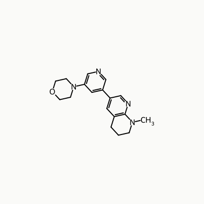 CN1CCCc2cc(-c3cncc(N4CCOCC4)c3)cnc21